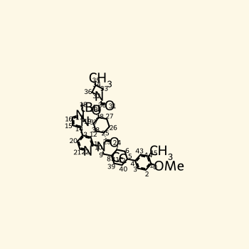 COc1ccc(C23CCC(CN(c4cc(-c5ccn(C(C)(C)C)n5)ccn4)C(=O)[C@H]4CC[C@H](OC(=O)N5CC(C)C5)CC4)(CC2)CC3)cc1C